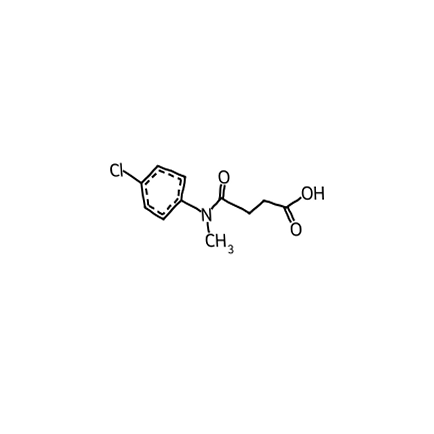 CN(C(=O)CCC(=O)O)c1ccc(Cl)cc1